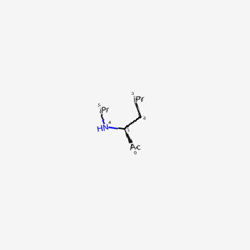 CC(=O)[C@H](CC(C)C)NC(C)C